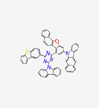 c1ccc2cc3c(cc2c1)c1ccccc1n3-c1cc(-c2nc(-c3ccc4sc5ccccc5c4c3)nc(-n3c4ccccc4c4ccccc43)n2)c2c(c1)oc1c3ccccc3ccc12